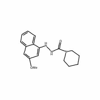 COc1cc(NNC(=O)N2CCCCC2)c2ccccc2c1